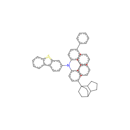 c1ccc(-c2ccc(N(c3ccc4c(c3)sc3ccccc34)c3ccc(C45CCC(CC4)C4CCCC45)cc3-c3ccccc3)c(-c3ccccc3)c2)cc1